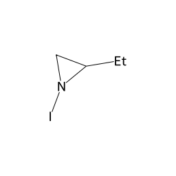 CCC1CN1I